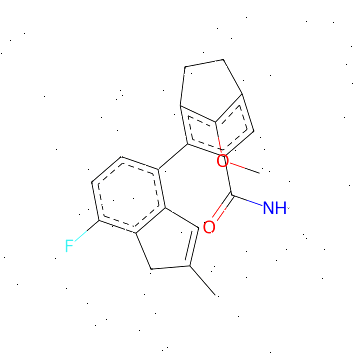 COc1c2cc(C([NH])=O)c(-c3ccc(F)c4c3C=C(C)C4)c1CC2